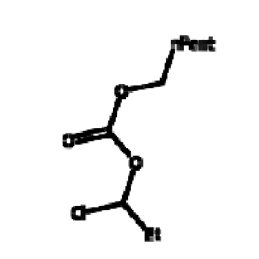 CCCCCCOC(=O)OC(Cl)CC